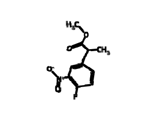 COC(=O)C(C)c1ccc(F)c([N+](=O)[O-])c1